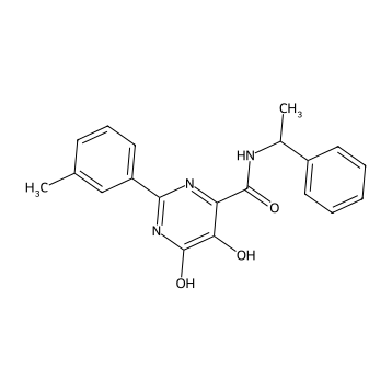 Cc1cccc(-c2nc(O)c(O)c(C(=O)NC(C)c3ccccc3)n2)c1